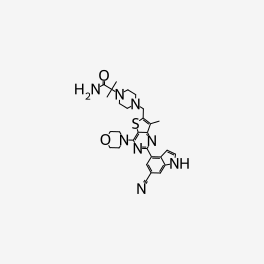 Cc1c(CN2CCN(C(C)(C)C(N)=O)CC2)sc2c(N3CCOCC3)nc(-c3cc(C#N)cc4[nH]ccc34)nc12